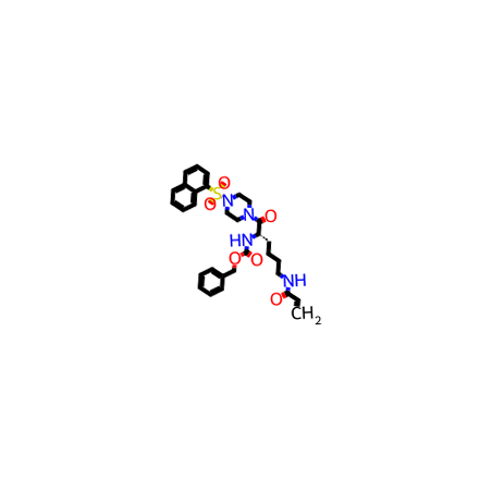 C=CC(=O)NCCCC[C@H](NC(=O)OCc1ccccc1)C(=O)N1CCN(S(=O)(=O)c2cccc3ccccc23)CC1